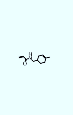 C=CC(=O)NCC1CC=C(C)CC1